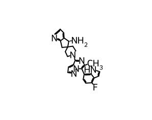 Cc1nc(N2CCC3(CC2)Cc2ncccc2[C@H]3N)c2ccnn2c1-c1ccc(F)c2cc[nH]c12